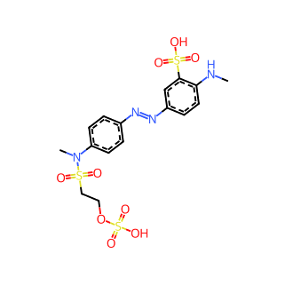 CNc1ccc(N=Nc2ccc(N(C)S(=O)(=O)CCOS(=O)(=O)O)cc2)cc1S(=O)(=O)O